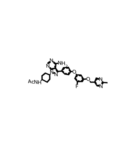 CC(=O)N[C@H]1CC[C@@H](n2nc(-c3ccc(Oc4cc(F)cc(OCc5cnc(C)nc5)c4)cc3)c3c(N)ncnc32)CC1